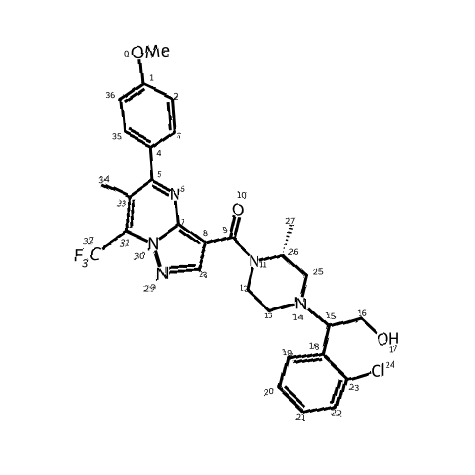 COc1ccc(-c2nc3c(C(=O)N4CCN(C(CO)c5ccccc5Cl)C[C@H]4C)cnn3c(C(F)(F)F)c2C)cc1